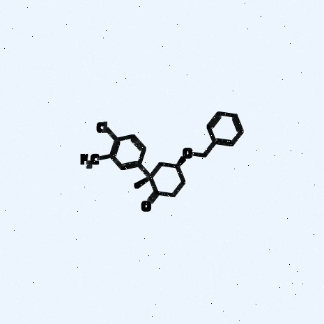 C[C@@]1(c2ccc(Cl)c(C(F)(F)F)c2)C[C@@H](OCc2ccccc2)CCC1=O